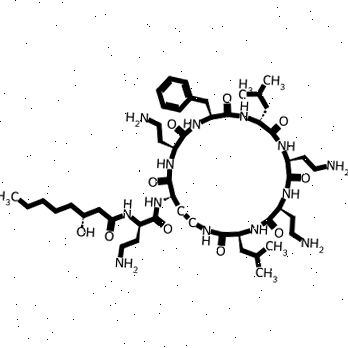 CCCCC[C@@H](O)CC(=O)N[C@H](CCN)C(=O)N[C@H]1CCNC(=O)[C@H](CC(C)C)NC(=O)[C@H](CCN)NC(=O)[C@H](CCN)NC(=O)[C@@H](CC(C)C)NC(=O)[C@H](Cc2ccccc2)NC(=O)[C@H](CCN)NC1=O